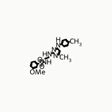 COc1cccc(S(=O)(=O)NCCNc2nc(C)cc(Nc3ccc(C)cc3)n2)c1